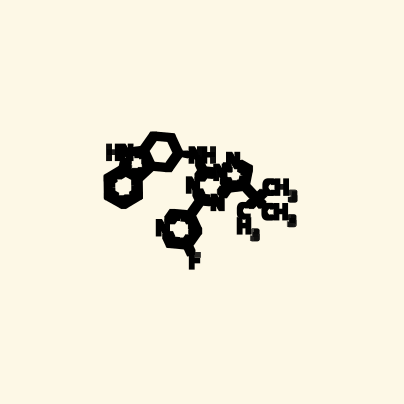 CC(C)(C)c1cnn2c(N[C@@H]3CCc4[nH]c5ccccc5c4C3)nc(-c3cncc(F)c3)nc12